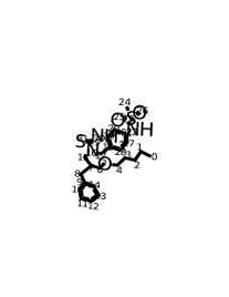 CCCCCOCC(Cc1ccccc1)CN(Cc1ccc(NS(C)(=O)=O)cc1)C(N)=S